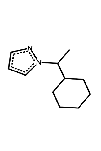 CC(C1CCCCC1)n1cccn1